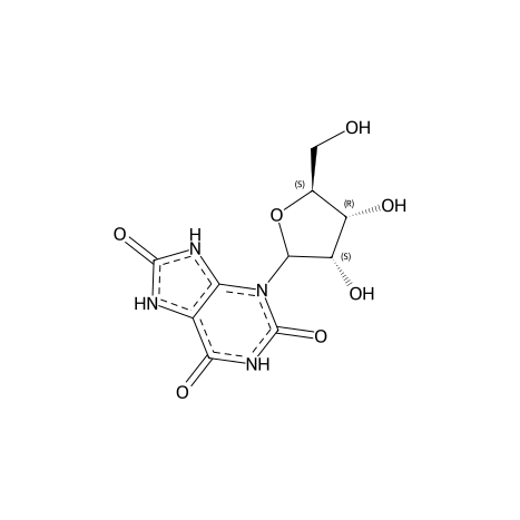 O=c1[nH]c2c(=O)[nH]c(=O)n(C3O[C@@H](CO)[C@H](O)[C@@H]3O)c2[nH]1